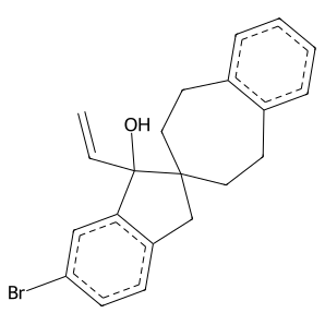 C=CC1(O)c2cc(Br)ccc2CC12CCc1ccccc1CC2